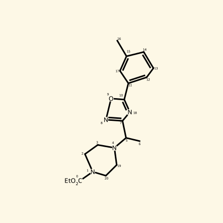 CCOC(=O)N1CCN(C(C)c2noc(-c3cccc(C)c3)n2)CC1